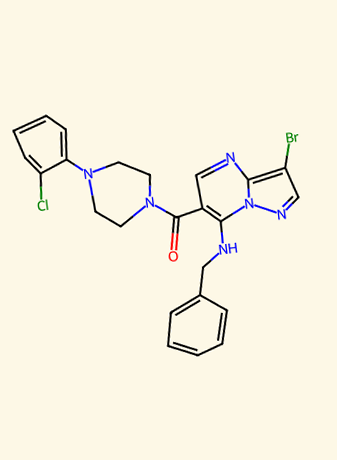 O=C(c1cnc2c(Br)cnn2c1NCc1ccccc1)N1CCN(c2ccccc2Cl)CC1